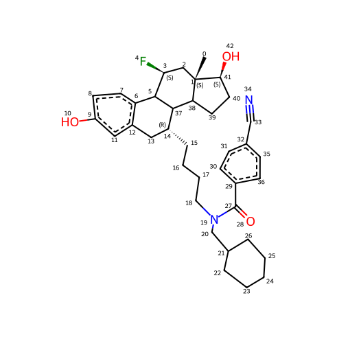 C[C@]12C[C@H](F)C3c4ccc(O)cc4C[C@@H](CCCCN(CC4CCCCC4)C(=O)c4ccc(C#N)cc4)C3C1CC[C@@H]2O